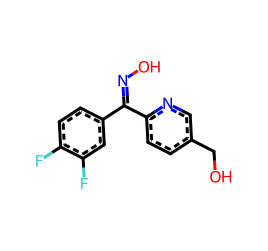 OCc1ccc(/C(=N\O)c2ccc(F)c(F)c2)nc1